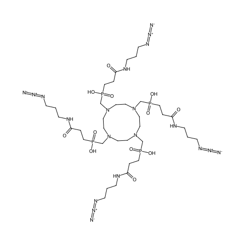 [N-]=[N+]=NCCCNC(=O)CCP(=O)(O)CN1CCN(CP(=O)(O)CCC(=O)NCCCN=[N+]=[N-])CCN(CP(=O)(O)CCC(=O)NCCCN=[N+]=[N-])CCN(CP(=O)(O)CCC(=O)NCCCN=[N+]=[N-])CC1